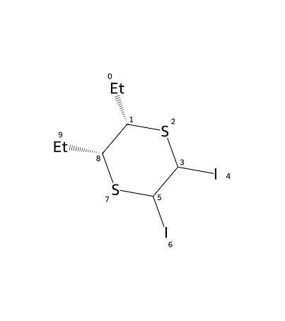 CC[C@@H]1SC(I)C(I)S[C@@H]1CC